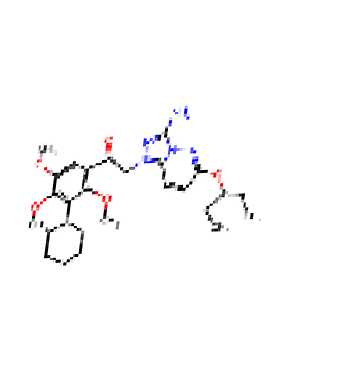 CCC(CC)Oc1ccc2n(n1)c(N)n[n+]2CC(=O)c1cc(OC)c(OC)c(C2CCCCC2)c1OC